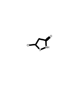 O=C1CC(Cl)SN1